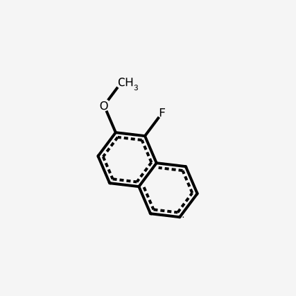 COc1ccc2c[c]ccc2c1F